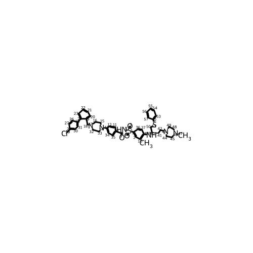 Cc1cc(S(=O)(=O)NC(=O)c2ccc(N3CCN(Cc4ccccc4-c4ccc(Cl)cc4)CC3)cc2)ccc1N[C@H](CCN1CCN(C)CC1)CSc1ccccc1